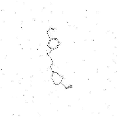 CNC1CCN(CCOc2cccc(CC=O)c2)CC1